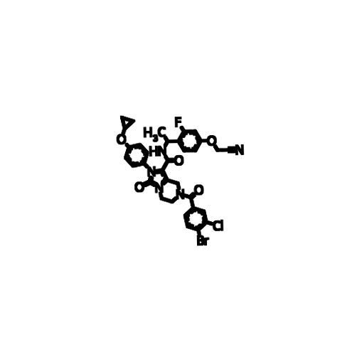 CC(NC(=O)c1c2n(c(=O)n1-c1ccc(OC3CC3)cc1)CCN(C(=O)c1ccc(Br)c(Cl)c1)C2)c1ccc(OCC#N)cc1F